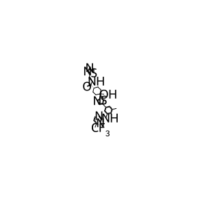 Cc1cc(Nc2nccc(C(F)(F)F)n2)cc(-c2cnc([C@]3(O)CC[C@H](C(=O)NCc4nncs4)CC3)s2)c1